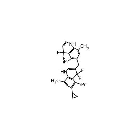 Cc1cc(CC2=CNc3c(C)cc(C4CC4)c(C(C)C)c3C2(F)F)c(C(C)C)c2c1NC=CC2(F)F